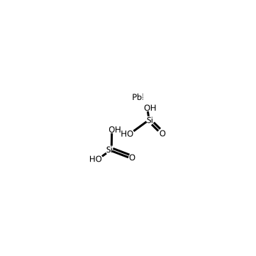 O=[Si](O)O.O=[Si](O)O.[Pb]